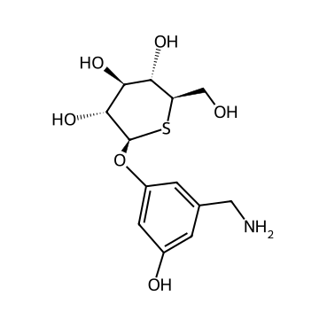 NCc1cc(O)cc(O[C@@H]2S[C@H](CO)[C@@H](O)[C@H](O)[C@H]2O)c1